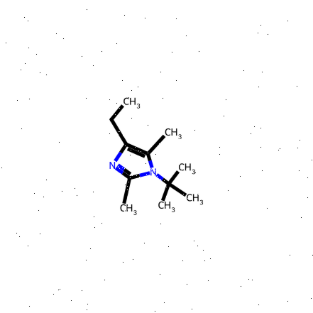 CCc1nc(C)n(C(C)(C)C)c1C